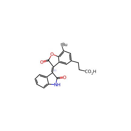 CC(C)(C)c1cc(CCC(=O)O)cc2c1OC(=O)/C2=C1/C(=O)Nc2ccccc21